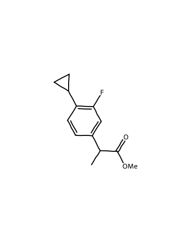 COC(=O)C(C)c1ccc(C2CC2)c(F)c1